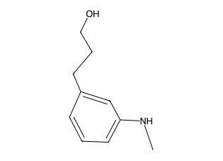 CNc1cccc(CCCO)c1